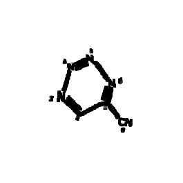 N#Cc1cnnnn1